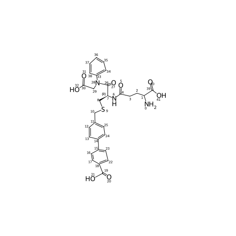 NC(CCC(=O)N[C@@H](CSCc1ccc(-c2ccc(C(=O)O)cc2)cc1)C(=O)N(CC(=O)O)c1ccccc1)C(=O)O